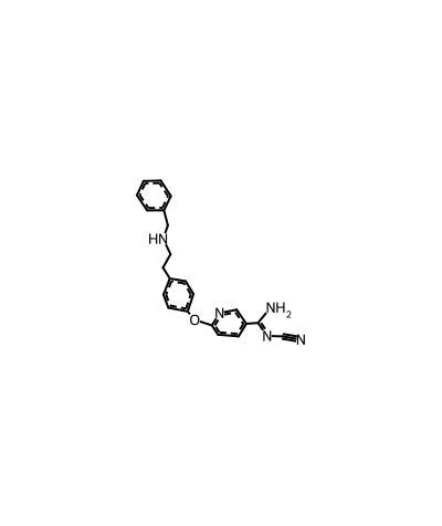 N#C/N=C(\N)c1ccc(Oc2ccc(CCNCc3ccccc3)cc2)nc1